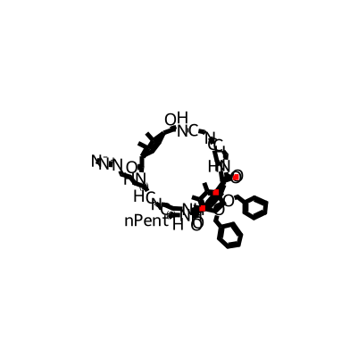 CCCCC[C@H]1CN2CCNC(=O)c3ccc(c(C)c3C)C(=O)NCCN(CCNC(=O)c3ccc(c(C)c3C)C(=O)N[C@@H](CCCN=[N+]=[N-])C2)CCNC(=O)c2ccc(c(OCc3ccccc3)c2OCc2ccccc2)C(=O)N1